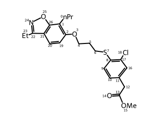 CCCc1c(OCCCSc2ccc(CC(=O)OC)cc2Cl)ccc2c(CC)noc12